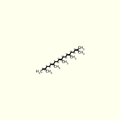 [CH2]/C=C(\C)CC/C=C(\C)CC/C=C(\C)CC/C=C(\C)CCC=C(C)C